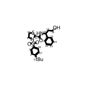 CC(C)(C)c1ccc(S(=O)(=O)N2CCS[C@H]2C(=O)NC(CCO)c2ccccc2)cc1